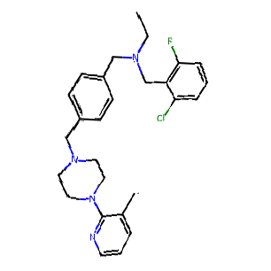 [CH2]c1cccnc1N1CCN(Cc2ccc(CN(CC)Cc3c(F)cccc3Cl)cc2)CC1